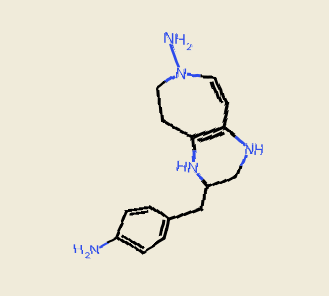 Nc1ccc(CC2CNC3=C(CCN(N)C=C3)N2)cc1